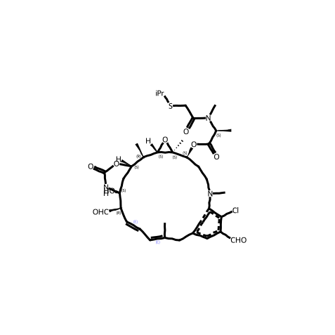 C/C1=C\C=C\[C@@H](C=O)[C@@]2(O)C[C@H](OC(=O)N2)[C@@H](C)[C@@H]2O[C@@]2(C)[C@@H](OC(=O)[C@H](C)N(C)C(=O)CSC(C)C)CCN(C)c2cc(cc(C=O)c2Cl)C1